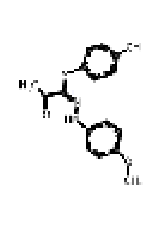 COc1ccc(N/N=C(/Sc2ccc(C)cc2)C(C)=O)cc1